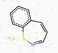 C1=Cc2ccccc2SN=C1.S